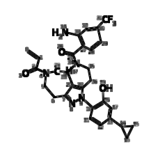 C=CC(=O)N1CCc2nn(-c3ccc(C4CC4)cc3O)c3c2[C@H](C1)N(C(=O)c1ccc(C(F)(F)F)cc1N)CC3